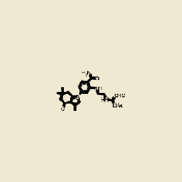 CC(=O)OC(C=O)NCCNc1cc(-n2cc(C)c3c2CC(C)(C)CC3=O)ccc1C(N)=O